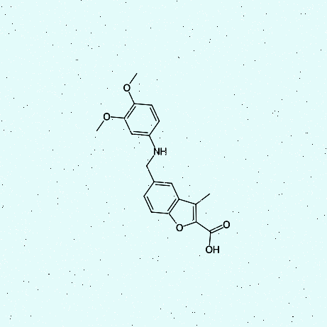 COc1ccc(NCc2ccc3oc(C(=O)O)c(C)c3c2)cc1OC